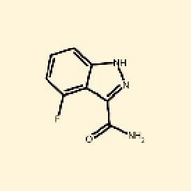 NC(=O)c1n[nH]c2cccc(F)c12